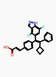 O=C(O)C=Cc1ccc(C(=C(c2ccccc2)C2CCC2)c2cc(F)c3[nH]ncc3c2F)cc1